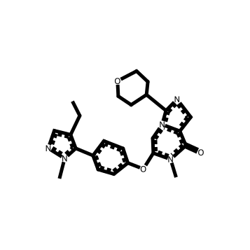 CCc1cnn(C)c1-c1ccc(Oc2cn3c(C4CCOCC4)ncc3c(=O)n2C)cc1